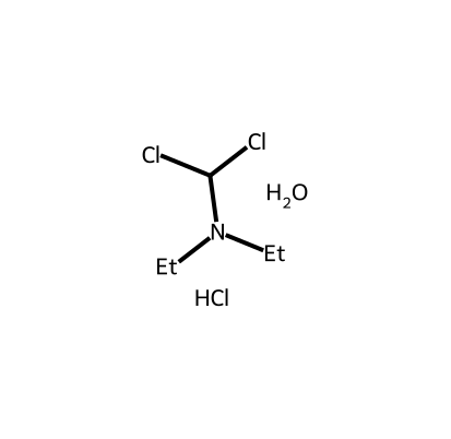 CCN(CC)C(Cl)Cl.Cl.O